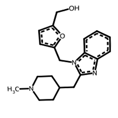 CN1CCC(Cc2nc3ccccc3n2Cc2ccc(CO)o2)CC1